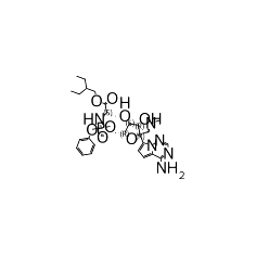 CCC(CC)COC(=O)[C@H](C)NP(=O)(OC[C@H]1O[C@@](C=NC)(c2ccc3c(N)ncnn23)[C@H](O)[C@@H]1O)Oc1ccccc1